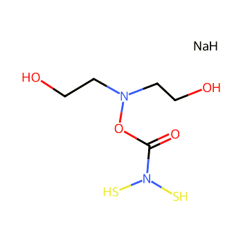 O=C(ON(CCO)CCO)N(S)S.[NaH]